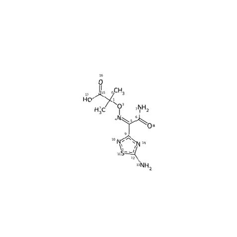 CC(C)(ON=C(C(N)=O)c1nsc(N)n1)C(=O)O